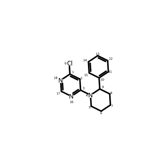 Clc1cc(N2CCCCC2c2ccccc2)ncn1